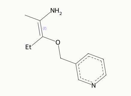 CC/C(OCc1cccnc1)=C(\C)N